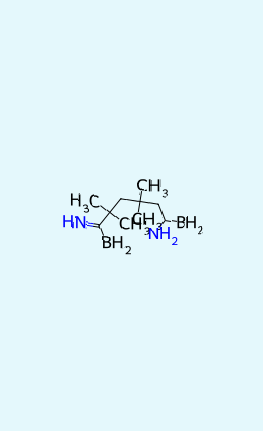 BC(=N)C(C)(C)CC(C)(C)CC(B)N